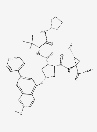 C=C[C@@H]1C[C@]1(NC(=O)[C@@H]1C[C@H](Oc2cc(-c3ccccc3)nc3cc(OC)ccc23)C[C@@H]1C(=O)N[C@H](C(=O)NC1CCCC1)C(C)(C)C)C(=O)O